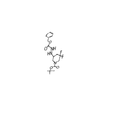 CC(C)(C)OC(=O)N1CC(NNC(=O)OCc2ccccc2)CC(F)(F)C1